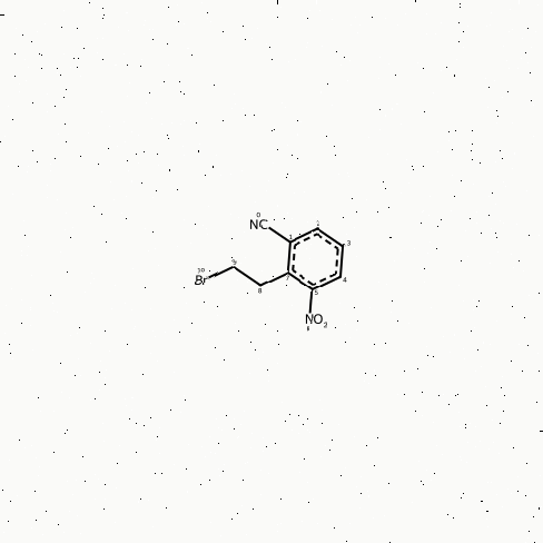 N#Cc1cccc([N+](=O)[O-])c1CCBr